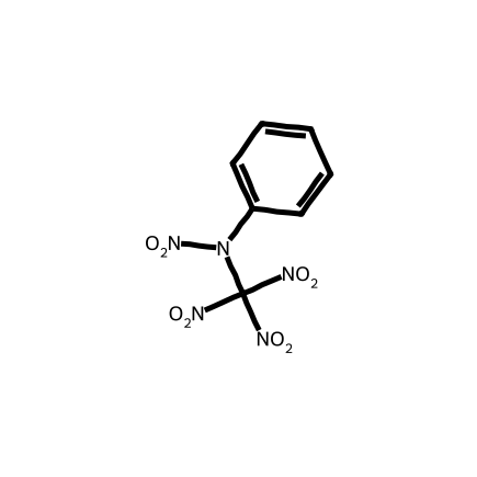 O=[N+]([O-])N(c1ccccc1)C([N+](=O)[O-])([N+](=O)[O-])[N+](=O)[O-]